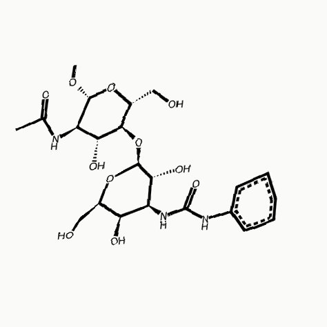 CO[C@@H]1O[C@H](CO)[C@@H](O[C@@H]2O[C@H](CO)[C@H](O)[C@H](NC(=O)Nc3ccccc3)[C@H]2O)[C@H](O)[C@H]1NC(C)=O